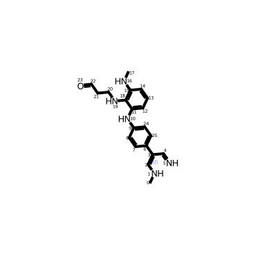 CN/C=C(\C=N)c1ccc(Nc2cccc(NC)c2NCCC=O)cc1